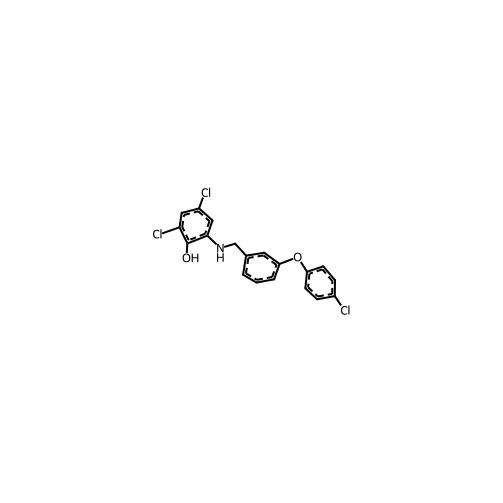 Oc1c(Cl)cc(Cl)cc1NCc1cccc(Oc2ccc(Cl)cc2)c1